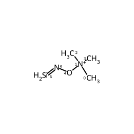 C[N+](C)(C)ON=[SiH2]